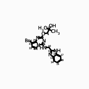 CC(C)(O)COc1nc(NCc2nc3ccccc3[nH]2)n2ncc(Br)c2n1